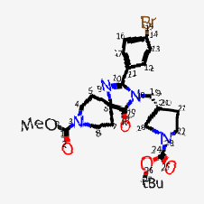 COC(=O)N1CCC2(CC1)N=C(c1ccc(Br)cc1)N(C[C@@H]1CCN(C(=O)OC(C)(C)C)C1)C2=O